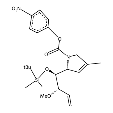 C=C[C@H](OC)[C@@H](O[Si](C)(C)C(C)(C)C)[C@H]1C=C(C)CN1C(=O)Oc1ccc([N+](=O)[O-])cc1